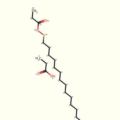 CCC(=O)O.CCCCCCCCCCCCCCSOC(=O)CC